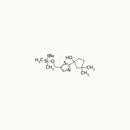 CC1(C)CCC(O)(c2ncc(CO[Si](C)(C)C(C)(C)C)s2)C1